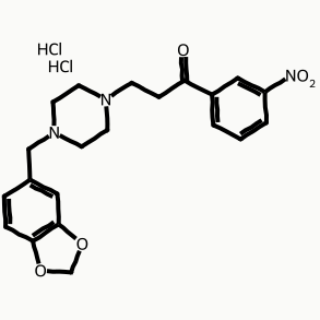 Cl.Cl.O=C(CCN1CCN(Cc2ccc3c(c2)OCO3)CC1)c1cccc([N+](=O)[O-])c1